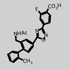 CC(=O)NCc1cc(-c2nc(-c3ccc(C(=O)O)c(F)c3)no2)ccc1-c1ccccc1C